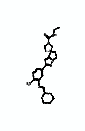 CCNC(=O)N1CC[C@@]2(CCn3nc(-c4cnc(N)c(SCC5CCCCC5)c4)cc32)C1